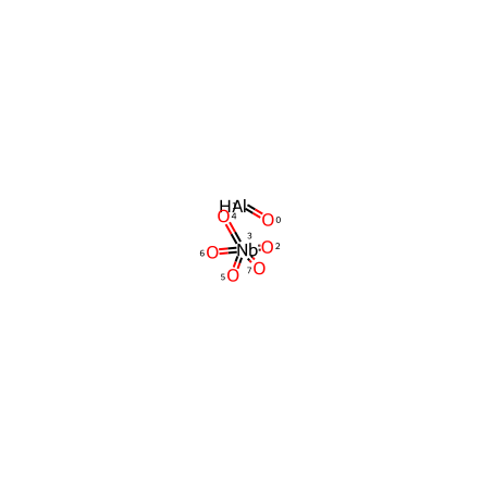 [O]=[AlH].[O]=[Nb](=[O])(=[O])(=[O])=[O]